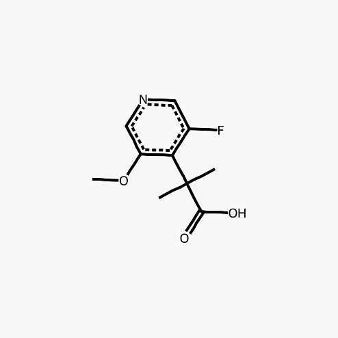 COc1cncc(F)c1C(C)(C)C(=O)O